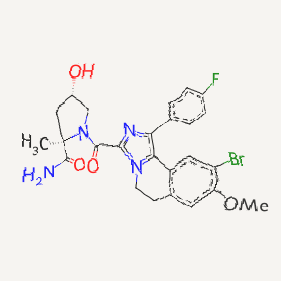 COc1cc2c(cc1Br)-c1c(-c3ccc(F)cc3)nc(C(=O)N3C[C@@H](O)C[C@]3(C)C(N)=O)n1CC2